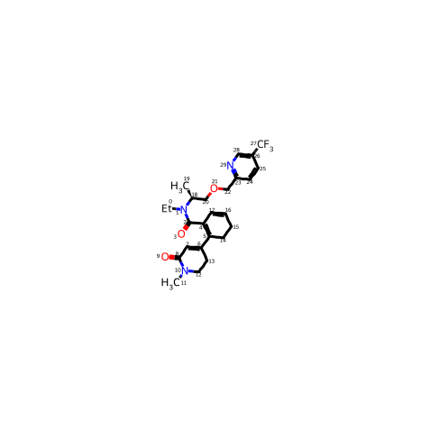 CCN(C(=O)C1=C(C2=CC(=O)N(C)CC2)CCC=C1)[C@@H](C)COCc1ccc(C(F)(F)F)cn1